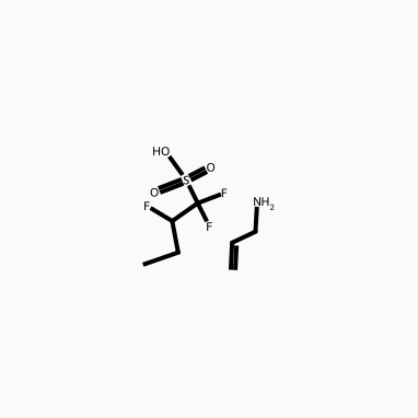 C=CCN.CCC(F)C(F)(F)S(=O)(=O)O